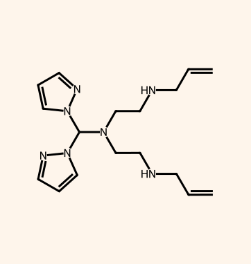 C=CCNCCN(CCNCC=C)C(n1cccn1)n1cccn1